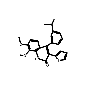 COc1ccc2c(-c3cccc(C(C)C)c3)c(-c3cccs3)c(=O)[nH]c2c1OC